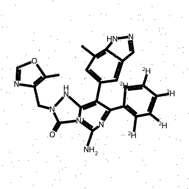 [2H]c1c([2H])c([2H])c(-c2nc(N)[n+]3c(=O)n(Cc4ncoc4C)[nH]c3c2-c2cc(C)c3[nH]ncc3c2)c([2H])c1[2H]